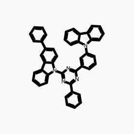 c1ccc(-c2ccc3c(c2)c2ccccc2n3-c2nc(-c3ccccc3)nc(-c3cccc(-n4c5ccccc5c5ccccc54)c3)n2)cc1